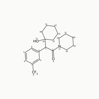 O=C(C(c1cccc(C(F)(F)F)c1)C1(O)CCCCC1)N1CC[CH]CC1